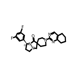 O=C1N2[C@H](c3cc(F)cc(F)c3)CCN2CC12CCN(c1ncc3c(n1)CCCC3)CC2